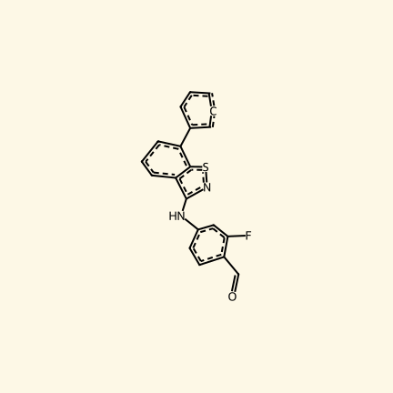 O=Cc1ccc(Nc2nsc3c(-c4ccccc4)cccc23)cc1F